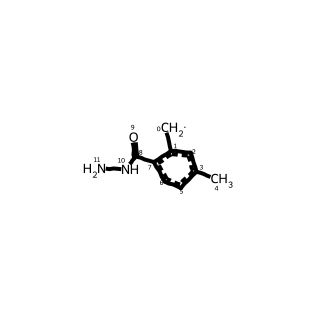 [CH2]c1cc(C)ccc1C(=O)NN